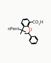 CCCCCC(C)(C)c1cccc(C(=O)O)c1OC(C)c1ccccc1